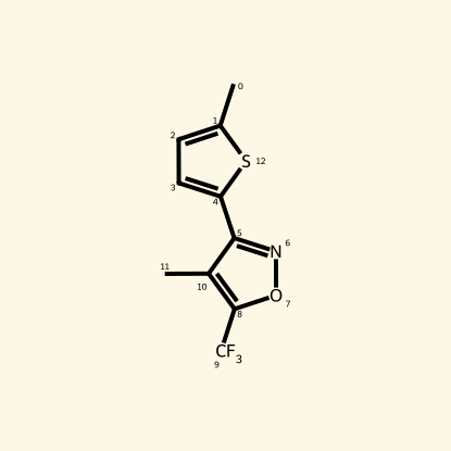 Cc1ccc(-c2noc(C(F)(F)F)c2C)s1